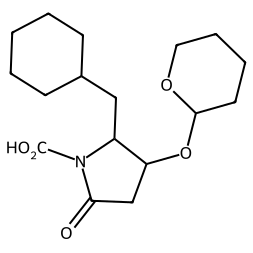 O=C(O)N1C(=O)CC(OC2CCCCO2)C1CC1CCCCC1